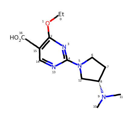 CCOc1nc(N2CC[C@H](N(C)C)C2)ncc1C(=O)O